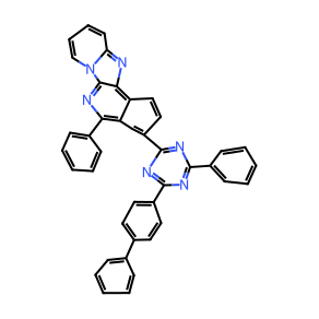 c1ccc(-c2ccc(-c3nc(-c4ccccc4)nc(-c4ccc5c(c4)c(-c4ccccc4)nc4c5nc5ccccn54)n3)cc2)cc1